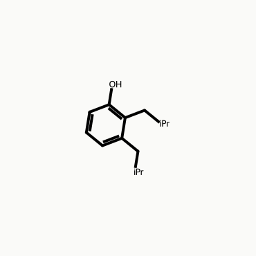 CC(C)Cc1cccc(O)c1CC(C)C